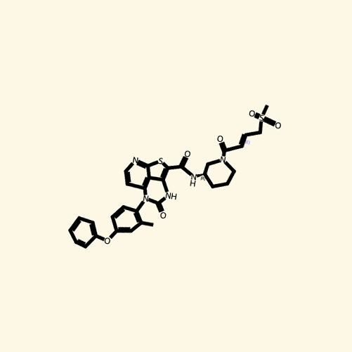 Cc1cc(Oc2ccccc2)ccc1N1C(=O)Nc2c(C(=O)N[C@@H]3CCCN(C(=O)/C=C/CS(C)(=O)=O)C3)sc3nccc1c23